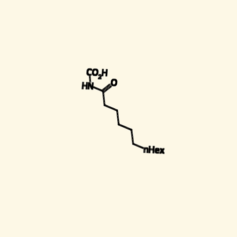 CCCCCCCCCCCC(=O)NC(=O)O